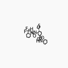 O=C(Nc1cc(S(=O)(=O)Nc2ccccc2)ccc1-c1ccsc1)Nc1ccccc1C(F)(F)F